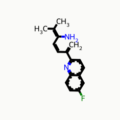 C=C(/C=C\C(N)=C(C)C)c1ccc2cc(F)ccc2n1